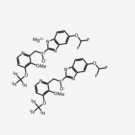 [2H]C([2H])([2H])Oc1ccnc(C[S+]([O-])c2nc3cc(OC(F)F)ccc3[n-]2)c1OC.[2H]C([2H])([2H])Oc1ccnc(C[S+]([O-])c2nc3cc(OC(F)F)ccc3[n-]2)c1OC.[Mg+2]